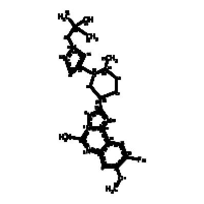 COc1cc2nc(N)n3nc([C@@H]4CC[C@H](C)N(c5cnn(CC(C)(C)O)c5)C4)nc3c2cc1F